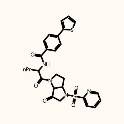 CCCC(NC(=O)c1ccc(-c2cccs2)cc1)C(=O)N1CCC2C1C(=O)CN2S(=O)(=O)c1ccccn1